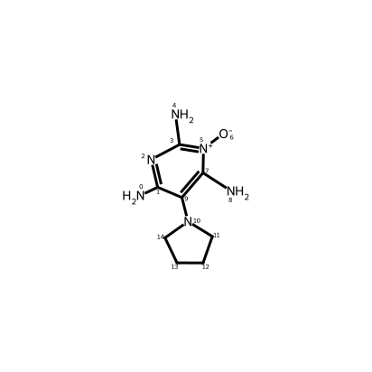 Nc1nc(N)[n+]([O-])c(N)c1N1CCCC1